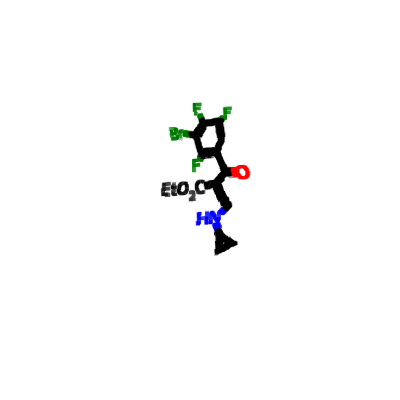 CCOC(=O)/C(=C\NC1CC1)C(=O)c1cc(F)c(F)c(Br)c1F